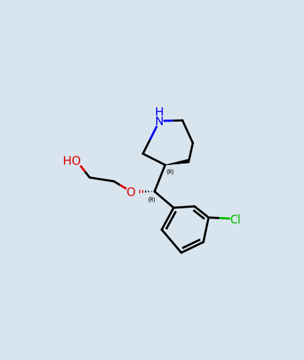 OCCO[C@@H](c1cccc(Cl)c1)[C@@H]1CCCNC1